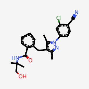 Cc1nn(-c2ccc(C#N)c(Cl)c2)c(C)c1Cc1ccccc1C(=O)NC(C)(C)CO